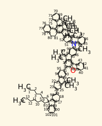 CCCCCCCC1(CCCCCCC)C2=C(CCC(C3=CCC4C(=C3)C(C)(C)c3cc(-c5cc6c(c7c5oc5ccccc57)-c5ccc(N(c7ccc8c(c7)C(C)(C)c7c-8c8c(c9c7C(C)(C)c7ccccc7-9)-c7ccccc7CC8)c7c(C)cccc7C)cc5C6(C)C)ccc34)=C2)c2ccccc21